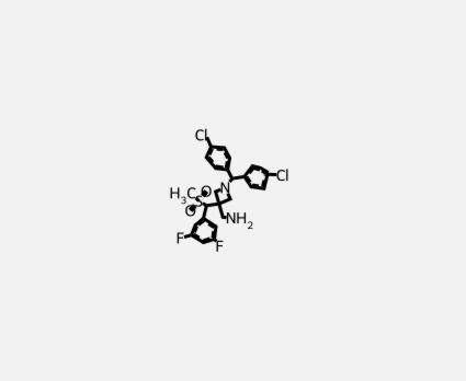 CS(=O)(=O)C(c1cc(F)cc(F)c1)C1(CN)CN(C(c2ccc(Cl)cc2)c2ccc(Cl)cc2)C1